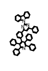 c1ccc(-c2cc(-c3cccc(-c4c(-c5ccccc5)c(-c5ccccc5)nc(-c5ccccc5)c4-c4ccccc4)c3)nc(-n3c4ccccc4c4ccccc43)n2)cc1